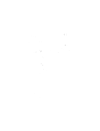 C=CCCCOC(=O)NC[C@@H]1O[C@@H]2OC(C)(C(=O)O)OC2C(O)[C@@H]1O[C@@H]1OC(CO)[C@H](O)[C@H](O)C1O